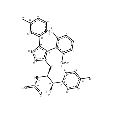 COc1cccc(OC)c1-n1c(C[C@H](N[SH](=O)=O)[C@H](O)c2ncc(C)cn2)nnc1-c1cccc(C)n1